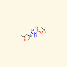 C[C@H]1C[C@@H](NNC(=O)OC(C)(C)C)CCO1